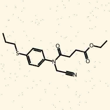 CCCSc1ccc(N(CC#N)C(=O)CCC(=O)OCC)cc1